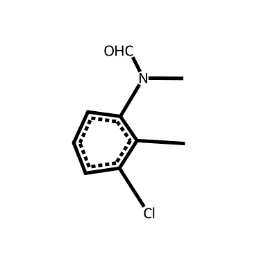 Cc1c(Cl)cccc1N(C)C=O